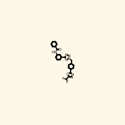 O=C(Nc1cccc(-c2nnn(Cc3ccc(-c4nnc(C(F)F)o4)cc3)n2)c1)c1ccccc1